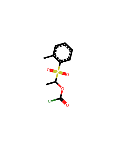 Cc1ccccc1S(=O)(=O)C(C)OC(=O)Cl